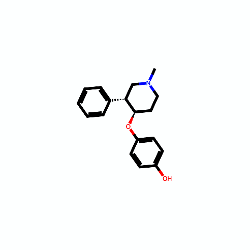 CN1CC[C@@H](Oc2ccc(O)cc2)[C@H](c2ccccc2)C1